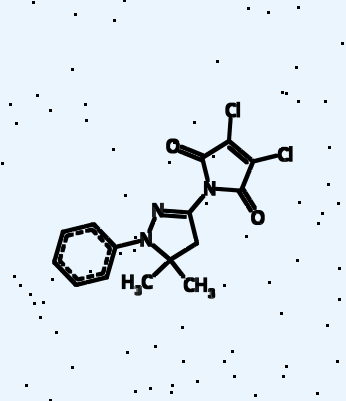 CC1(C)CC(N2C(=O)C(Cl)=C(Cl)C2=O)=NN1c1ccccc1